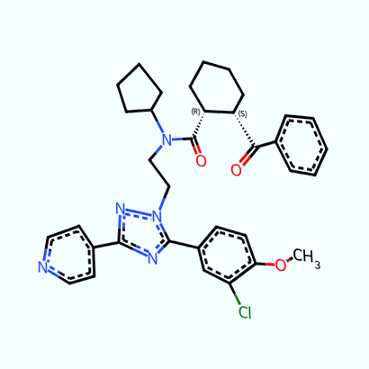 COc1ccc(-c2nc(-c3ccncc3)nn2CCN(C(=O)[C@@H]2CCCC[C@@H]2C(=O)c2ccccc2)C2CCCC2)cc1Cl